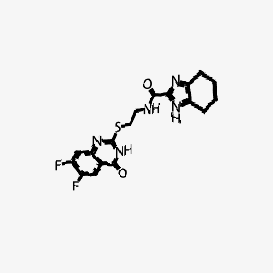 O=C(NCCSc1nc2cc(F)c(F)cc2c(=O)[nH]1)c1nc2c([nH]1)CCCC2